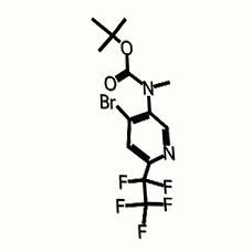 CN(C(=O)OC(C)(C)C)c1cnc(C(F)(F)C(F)(F)F)cc1Br